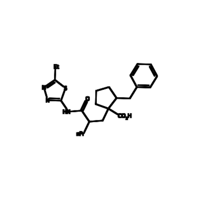 CCCC(CC1(C(=O)O)CCCC1Cc1ccccc1)C(=O)Nc1nnc(CC)s1